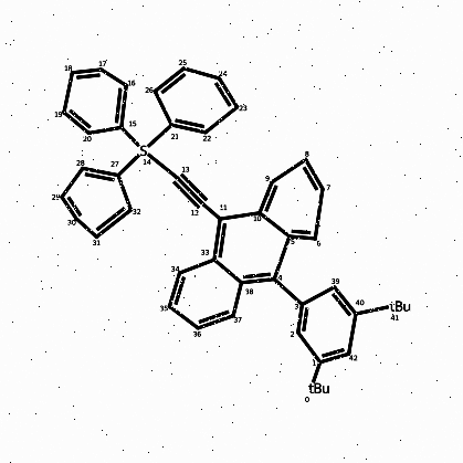 CC(C)(C)c1cc(-c2c3ccccc3c(C#CS(c3ccccc3)(c3ccccc3)c3ccccc3)c3ccccc23)cc(C(C)(C)C)c1